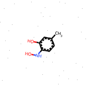 Cc1ccc(NO)c(O)c1